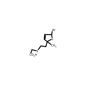 CC(C)C1C=CC(C)(CCSCC(=O)O)S1